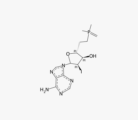 C=P(C)(C)CC[C@H]1OC(n2cnc3c(N)ncnc32)[C@H](I)[C@@H]1O